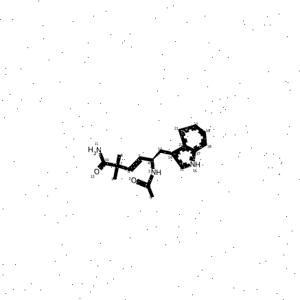 CC(=O)N[C@@H](/C=C/C(C)(C)C(N)=O)Cc1c[nH]c2ccccc12